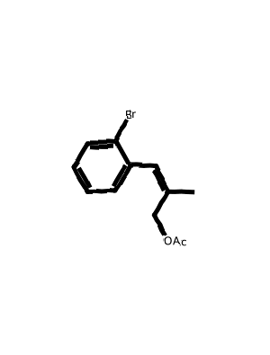 CC(=O)OCC(C)=Cc1ccccc1Br